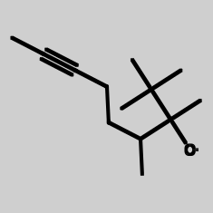 CC#CCCC(C)C(C)([O])C(C)(C)C